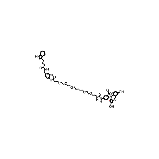 O=C(CCCc1c[nH]c2ccccc12)NCc1ccc(OC(=O)CCOCCOCCOCCOCCOCCOCCNC(=S)Nc2ccc3c(c2)C(=O)OC32c3ccc(O)cc3Oc3cc(O)ccc32)c(F)c1